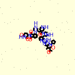 CC(=O)c1c(C)c2cnc(Nc3ncccc3C3CNCCN3C(=O)C3(CC4CNCCN4c4cccc5c4C(=O)N(C4CCC(=O)NC4=O)C5=O)CCNCC3)nc2n(C2CCCC2)c1=O